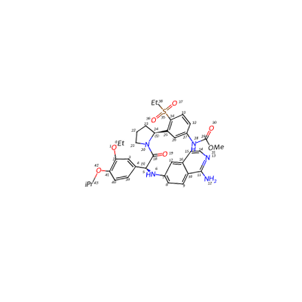 CCOc1cc([C@H](Nc2ccc3c(N)nccc3c2)C(=O)N2CCC[C@H]2c2cc(NC(=O)OC)ccc2S(=O)(=O)CC)ccc1OC(C)C